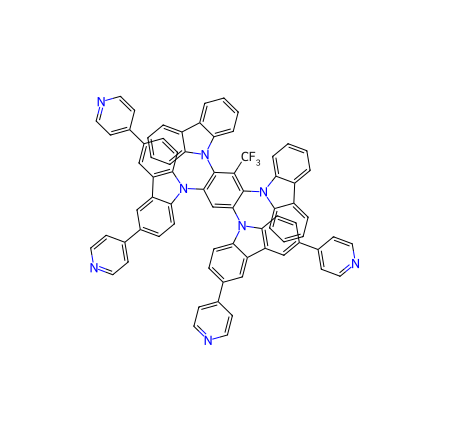 FC(F)(F)c1c(-n2c3ccccc3c3ccccc32)c(-n2c3ccc(-c4ccncc4)cc3c3cc(-c4ccncc4)ccc32)cc(-n2c3ccc(-c4ccncc4)cc3c3cc(-c4ccncc4)ccc32)c1-n1c2ccccc2c2ccccc21